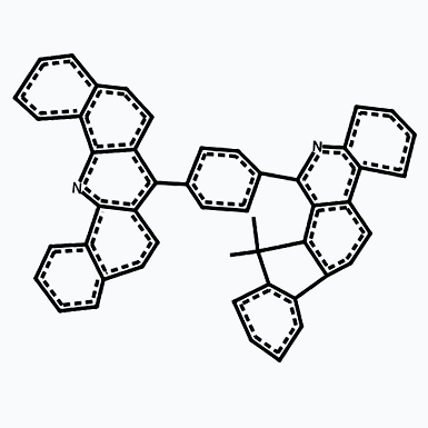 CC1(C)c2ccccc2-c2ccc3c(c(-c4ccc(-c5c6ccc7ccccc7c6nc6c5ccc5ccccc56)cc4)nc4ccccc43)c21